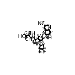 CC(C)(O)[C@H](F)CNC(=O)c1cnc(Nc2ccc3ncc(C#N)cc3n2)cc1NC1CCC(F)(F)C1